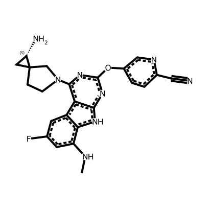 CNc1cc(F)cc2c1[nH]c1nc(Oc3ccc(C#N)nc3)nc(N3CCC4(C[C@@H]4N)C3)c12